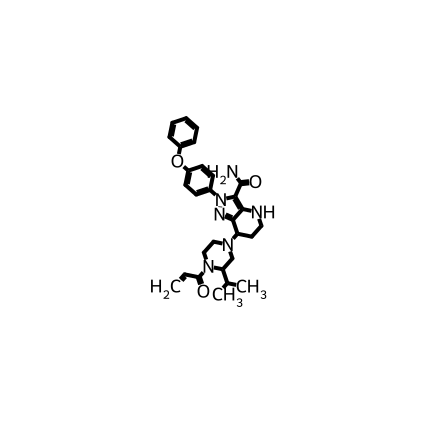 C=CC(=O)N1CCN(C2CCNc3c2nn(-c2ccc(Oc4ccccc4)cc2)c3C(N)=O)CC1C(C)C